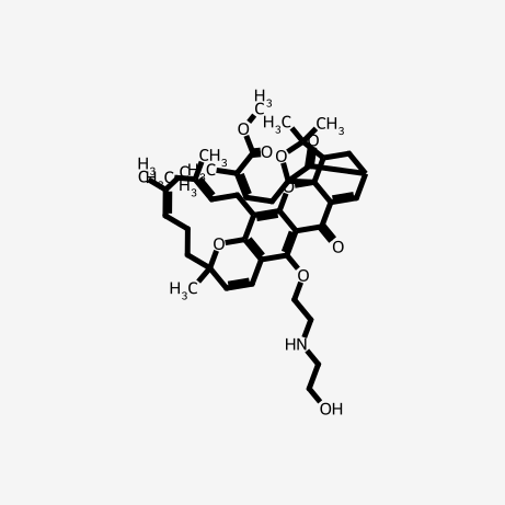 COC(=O)/C(C)=C\CC12OC(C)(C)C3CC(C=C4C(=O)c5c(OCCNCCO)c6c(c(CC=C(C)C)c5OC431)OC(C)(CCC=C(C)C)C=C6)C2=O